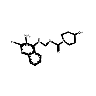 Nc1c(Cl)nc2ccccc2c1NCOC(=O)N1CCC(O)CC1